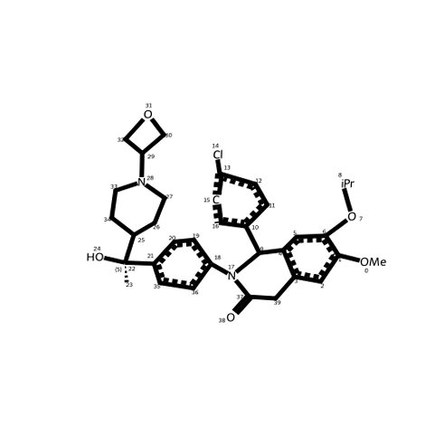 COc1cc2c(cc1OC(C)C)C(c1ccc(Cl)cc1)N(c1ccc([C@@](C)(O)C3CCN(C4COC4)CC3)cc1)C(=O)C2